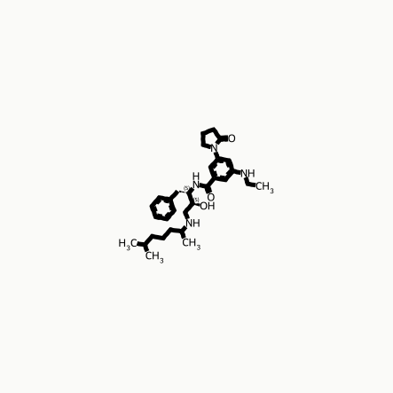 CCNc1cc(C(=O)N[C@@H](Cc2ccccc2)[C@@H](O)CNC(C)CCCC(C)C)cc(N2CCCC2=O)c1